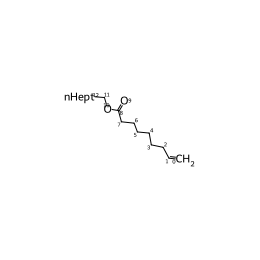 C=CCCCCCCC(=O)OCCCCCCCC